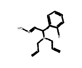 C=CCN(CC=C)C(C=NO)c1ccccc1F